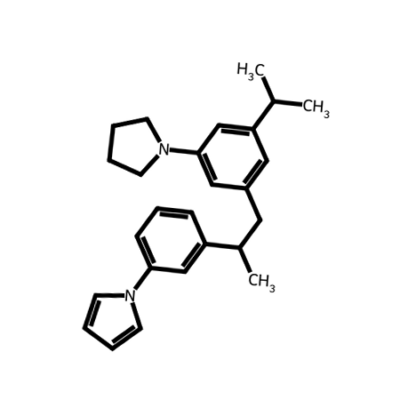 CC(C)c1cc(CC(C)c2cccc(-n3cccc3)c2)cc(N2CCCC2)c1